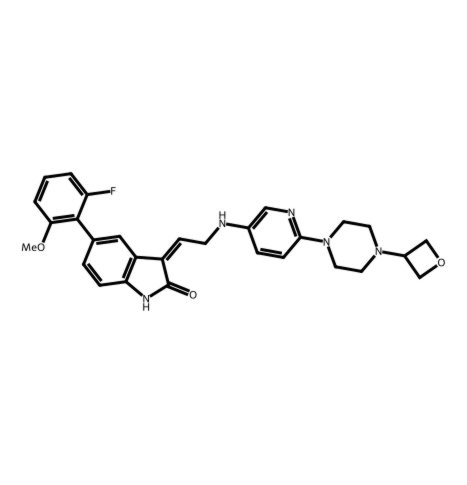 COc1cccc(F)c1-c1ccc2c(c1)/C(=C/CNc1ccc(N3CCN(C4COC4)CC3)nc1)C(=O)N2